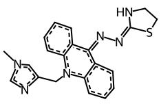 Cn1cnc(Cn2c3ccccc3c(=NN=C3NCCS3)c3ccccc32)c1